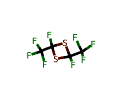 FC(F)(F)C1(F)SC(F)(C(F)(F)F)S1